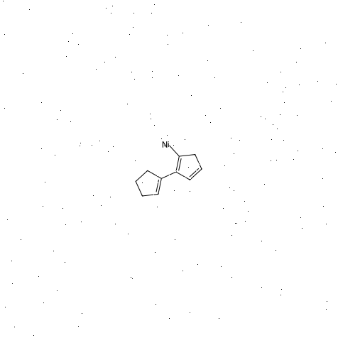 [Ni][C]1=C(C2=CCCC2)C=CC1